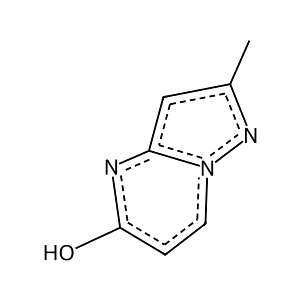 Cc1cc2nc(O)ccn2n1